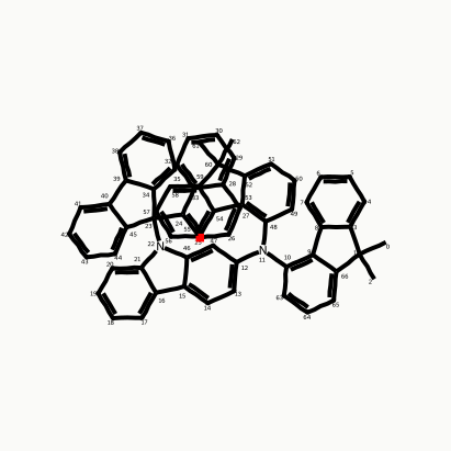 CC1(C)c2ccccc2-c2c(N(c3ccc4c5ccccc5n(C5(c6cccc7ccccc67)c6ccccc6-c6ccccc65)c4c3)c3cccc4c3-c3ccccc3C4(C)C)cccc21